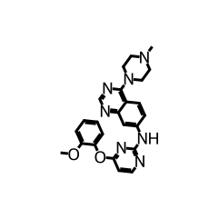 COc1ccccc1Oc1ccnc(Nc2ccc3c(N4CCN(C)CC4)ncnc3c2)n1